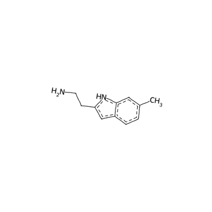 Cc1ccc2cc(CCN)[nH]c2c1